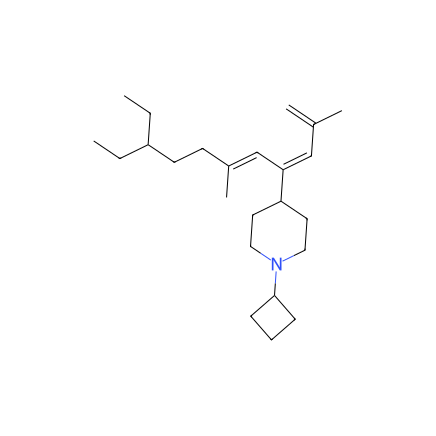 C=C(C)/C=C(\C=C(/C)CCC(CC)CC)C1CCN(C2CCC2)CC1